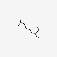 [CH2]C(CC)CCCCC(C)C